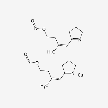 CC(=CC1=NCCC1)CCON=O.CC(=CC1=NCCC1)CCON=O.[Cu]